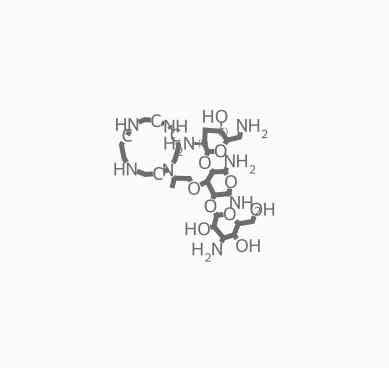 CC(COC1C(OC2OC(CO)C(O)C(N)C2O)C(N)OC(N)C1OC1OC(CN)[C@@H](O)C[C@@H]1N)N1CCCNCCNCCCNCC1